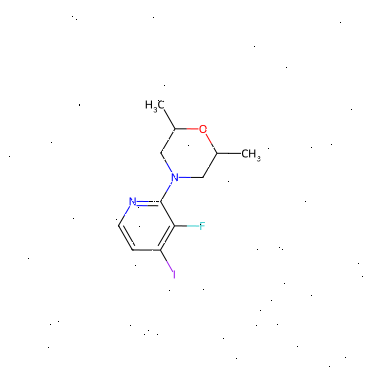 CC1CN(c2nccc(I)c2F)CC(C)O1